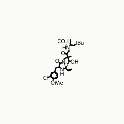 C=CC(=O)NC(Cc1ccc(OC)c(Cl)c1)C(=O)NCC(C)(CO)C(=O)CNC(CC(C)(C)C)C(=O)O